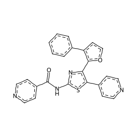 O=C(Nc1nc(-c2occc2-c2ccccc2)c(-c2ccncc2)s1)c1ccncc1